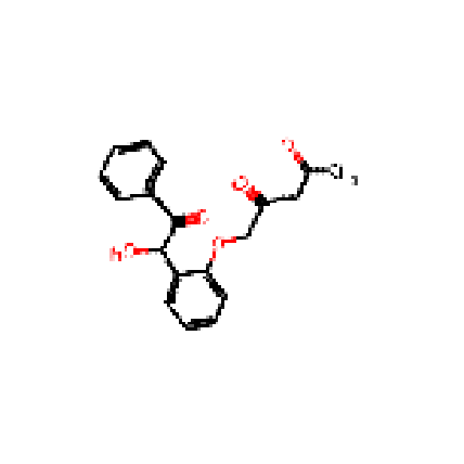 CC(=O)CC(=O)COc1ccccc1C(O)C(=O)c1ccccc1